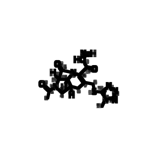 CC(=O)N1C[C@H]2CC(CSc3nnnn3C)=C(C(=O)O)N3C(=O)[C@@H]1[C@@H]23.[NaH]